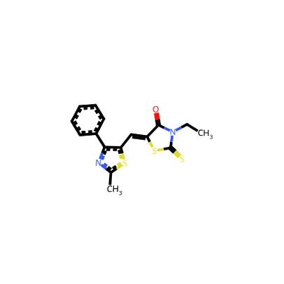 CCN1C(=O)/C(=C/c2sc(C)nc2-c2ccccc2)SC1=S